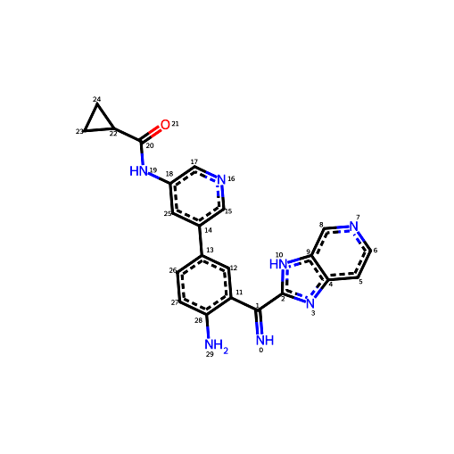 N=C(c1nc2ccncc2[nH]1)c1cc(-c2cncc(NC(=O)C3CC3)c2)ccc1N